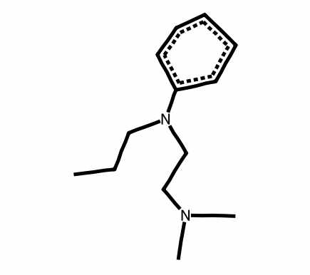 CCCN(CCN(C)C)c1ccccc1